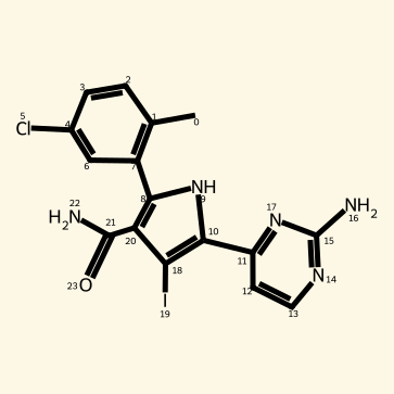 Cc1ccc(Cl)cc1-c1[nH]c(-c2ccnc(N)n2)c(I)c1C(N)=O